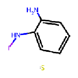 Nc1ccccc1NI.[S]